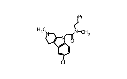 CC(C)CCN(C)C(=O)Cn1c2c(c3cc(Cl)ccc31)CCN(C)C2